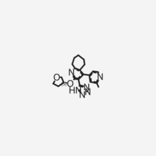 Cc1cc(-c2c3c(nc(O[C@H]4CCOC4)c2-c2nnn[nH]2)CCCCC3)ccn1